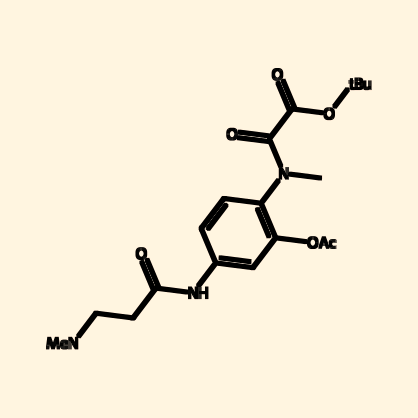 CNCCC(=O)Nc1ccc(N(C)C(=O)C(=O)OC(C)(C)C)c(OC(C)=O)c1